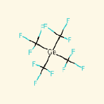 F[C](F)(F)[Ge]([C](F)(F)F)([C](F)(F)F)[C](F)(F)F